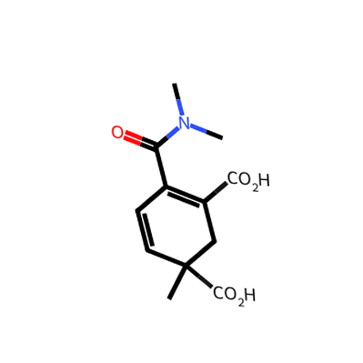 CN(C)C(=O)C1=C(C(=O)O)CC(C)(C(=O)O)C=C1